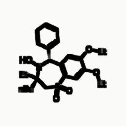 CCCC[C@]1(CC)CS(=O)(=O)c2cc(OCC)c(OCC)cc2[C@@H](c2ccccc2)N1O